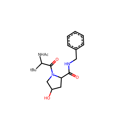 CC(=O)NC(C(=O)N1CC(O)CC1C(=O)NCc1ccccc1)C(C)(C)C